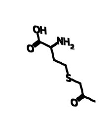 CC(=O)CSCCC(N)C(=O)O